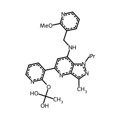 COc1ncccc1CNc1cc(-c2cccnc2OC(C)(O)O)nc2c(C)nn(C(C)C)c12